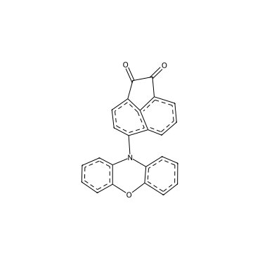 O=C1C(=O)c2ccc(N3c4ccccc4Oc4ccccc43)c3cccc1c23